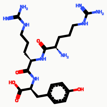 N=C(N)NCCC[C@H](NC(=O)[C@@H](N)CCCNC(=N)N)C(=O)N[C@@H](Cc1ccc(O)cc1)C(=O)O